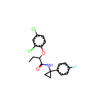 CCC(Oc1ccc(Cl)cc1Cl)C(=O)NC1(c2ccc(F)cc2)CC1